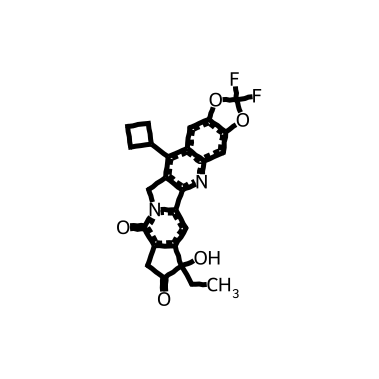 CCC1(O)C(=O)Cc2c1cc1n(c2=O)Cc2c-1nc1cc3c(cc1c2C1CCC1)OC(F)(F)O3